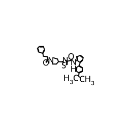 CC(C)c1ccc(-c2ccccc2NC(=O)c2csc(C3CCN(C(=O)CCc4ccccc4)CC3)n2)cc1